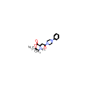 CCN1CC(C)(C)OC(=O)C1CC(=O)N1CCN(c2ccccc2)CC1